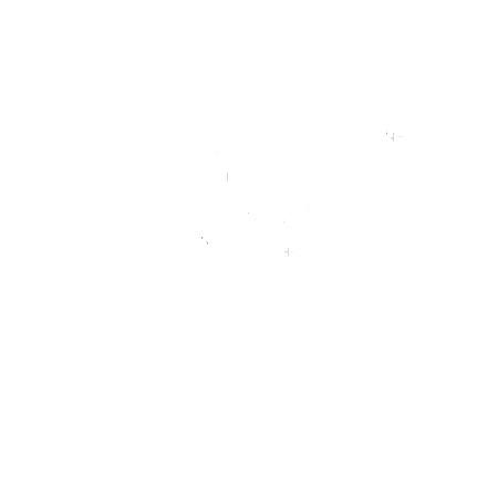 NCCCCC1(C(=O)O)CN(Cc2cccc(O)c2)CCP1(=O)O